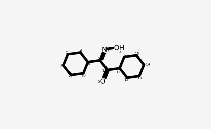 O=C(C(=NO)C1CCCCC1)C1CCCCC1